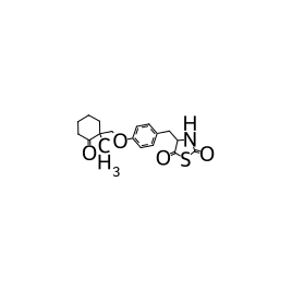 CC1(COc2ccc(CC3NC(=O)SC3=O)cc2)CCCCC1=O